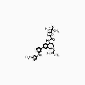 CC(O)CN1CCC(NC(=O)c2nnc(C(C)(C)CF)o2)c2ccc(-c3ccnc(Nc4cnn(C)c4)n3)cc2C1